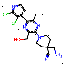 Cc1nc(N2CCC(C#N)(CN)CC2)c(CO)nc1-c1ccnc(Cl)c1Cl